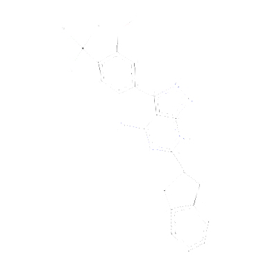 COc1cc(-c2n[nH]c3nc(C4Cc5ccccc5C4)nc(N)c23)ccc1C(F)(F)F